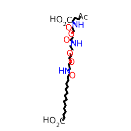 CC(=O)CC[C@H](NC(=O)COCC(=O)NCCOCCOCCNC(=O)CCCCCCCCCCCCCCC(=O)O)C(=O)O